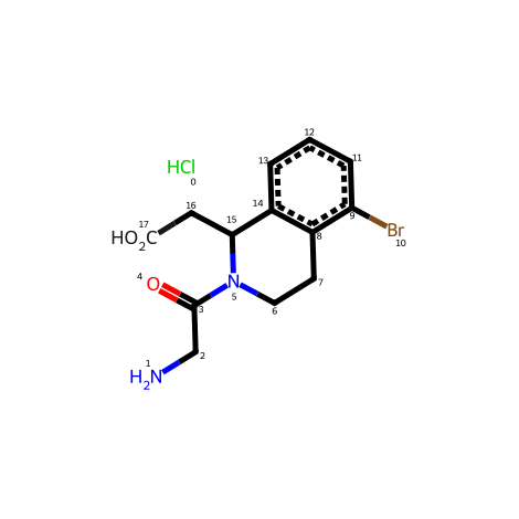 Cl.NCC(=O)N1CCc2c(Br)cccc2C1CC(=O)O